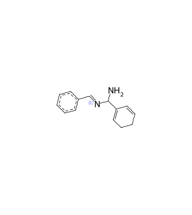 NC(/N=C/c1ccccc1)C1=CCCC=C1